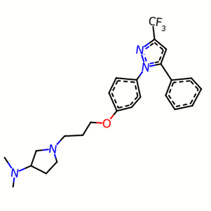 CN(C)C1CCN(CCCOc2ccc(-n3nc(C(F)(F)F)cc3-c3ccccc3)cc2)C1